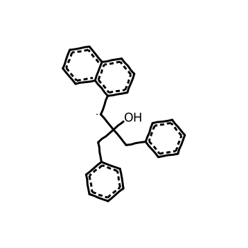 OC([CH]c1cccc2ccccc12)(Cc1ccccc1)Cc1ccccc1